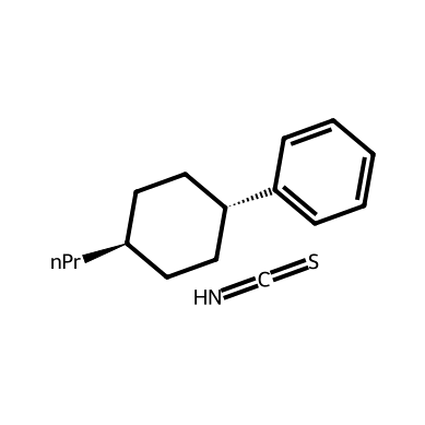 CCC[C@H]1CC[C@H](c2ccccc2)CC1.N=C=S